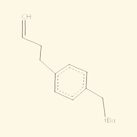 [CH]=CCCc1ccc(CC(C)(C)C)cc1